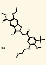 Br.CCOc1cc2c(cc1C(=O)NC)C(=N)N(CC(=O)c1cc(NCCOC)c(OC)c(C(C)(C)C)c1)C2